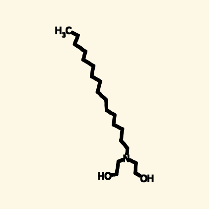 CCCCCCCCCCCCCCCCN(CCO)CCO